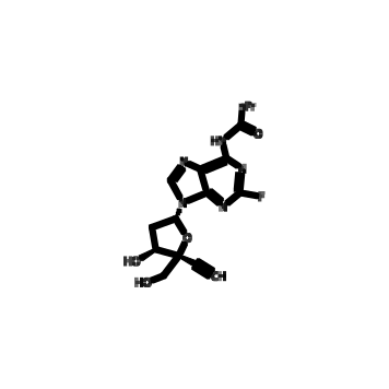 C#C[C@]1(CO)O[C@@H](n2cnc3c(NC(=O)CCC)nc(F)nc32)C[C@@H]1O